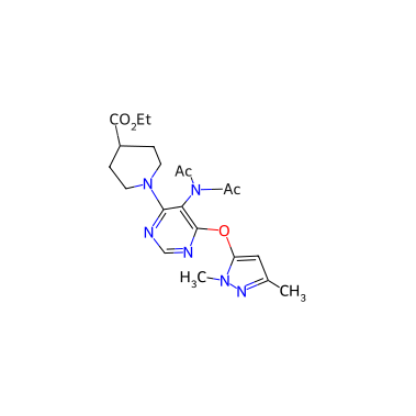 CCOC(=O)C1CCN(c2ncnc(Oc3cc(C)nn3C)c2N(C(C)=O)C(C)=O)CC1